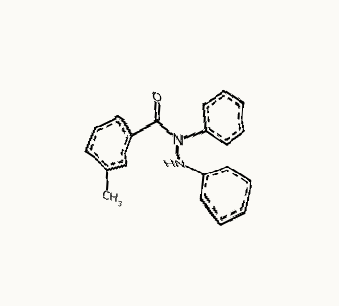 Cc1cccc(C(=O)N(Nc2ccccc2)c2ccccc2)c1